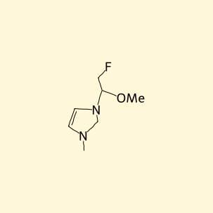 COC(CF)N1C=CN(C)C1